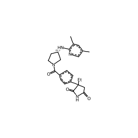 CCC1(c2ccc(C(=O)N3CC[C@H](Nc4ncc(C)cc4C)C3)cc2)CC(=O)NC1=O